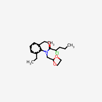 CCCC(Cl)C(=O)N(CC1OCCO1)c1c(CC)cccc1CC